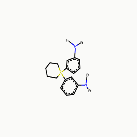 CCN(CC)c1cccc(S2(c3cccc(N(CC)CC)c3)CCCCC2)c1